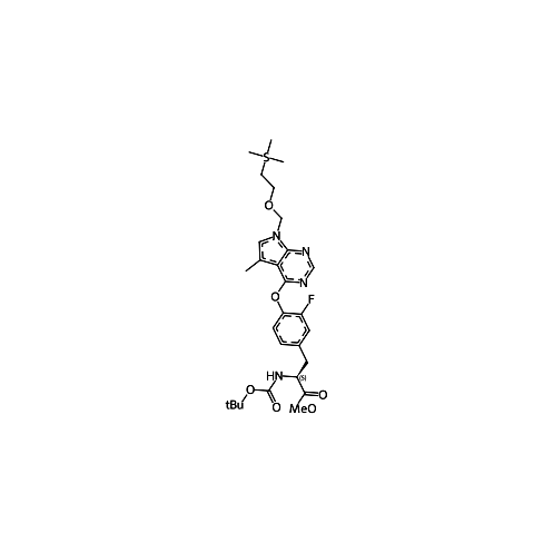 COC(=O)[C@H](Cc1ccc(Oc2ncnc3c2c(C)cn3COCCS(C)(C)C)c(F)c1)NC(=O)OC(C)(C)C